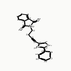 O=C1c2ccccc2C(=O)N1CCC#Cc1csc(-c2ccccc2)n1